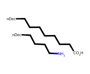 CCCCCCCCCCCCCCCCCC(=O)O.CCCCCCCCCCCCCCN